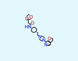 O=C(CC1COCCO1)N[C@H]1CC[C@H](CCN2CCN(c3nccc4c3OCC4)CC2)CC1